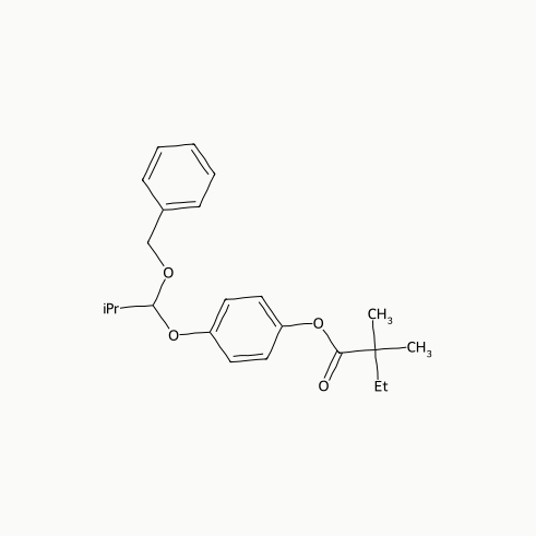 CCC(C)(C)C(=O)Oc1ccc(OC(OCc2ccccc2)C(C)C)cc1